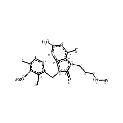 COc1c(C)cnc(Cn2c(=O)n(CCCNC(C)C)c3c(Cl)nc(N)nc32)c1C